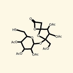 CC(=O)OCC1(OC2OC(CS)C(OC(C)=O)C(OC(C)=O)C2OC(C)=O)OC2(CC(=O)O2)C(OC(C)=O)C1OC(C)=O